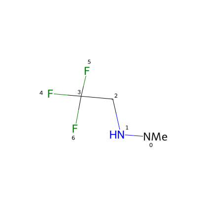 CNNCC(F)(F)F